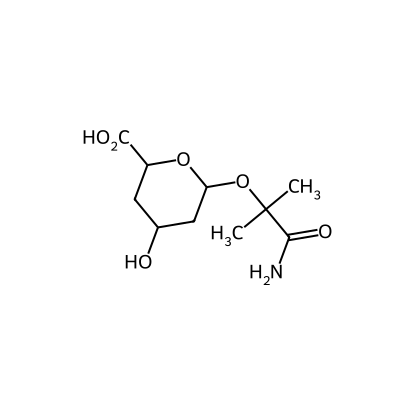 CC(C)(OC1CC(O)CC(C(=O)O)O1)C(N)=O